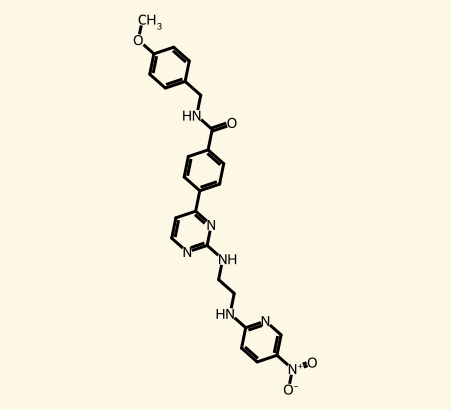 COc1ccc(CNC(=O)c2ccc(-c3ccnc(NCCNc4ccc([N+](=O)[O-])cn4)n3)cc2)cc1